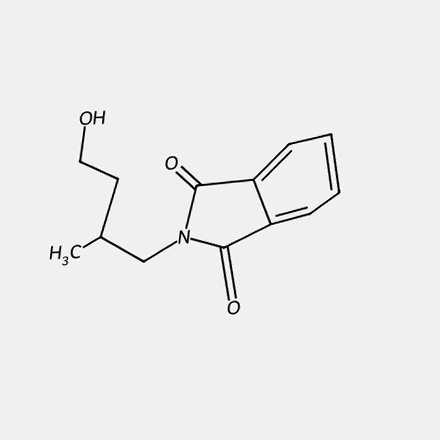 CC(CCO)CN1C(=O)c2ccccc2C1=O